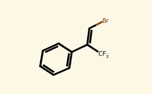 FC(F)(F)/C(=C\Br)c1ccccc1